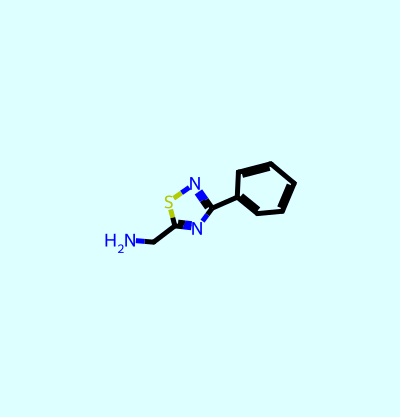 NCc1nc(-c2ccccc2)ns1